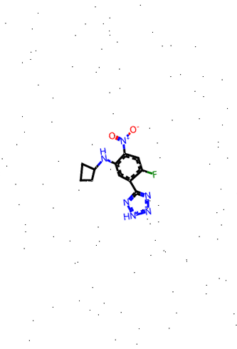 O=[N+]([O-])c1cc(F)c(-c2nn[nH]n2)cc1NC1CCC1